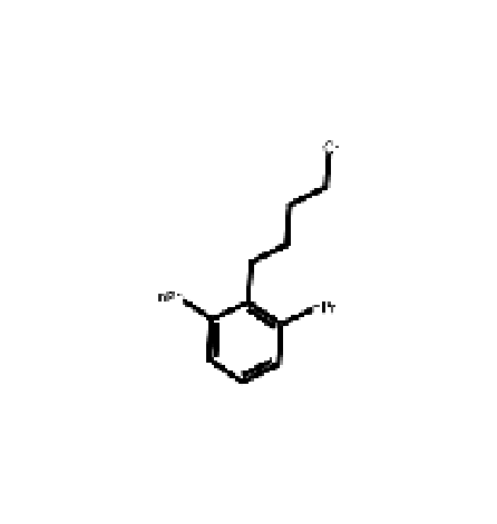 CCCc1cccc(CCC)c1CCCC[O]